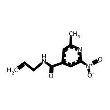 C=CCNC(=O)c1cc(C)nc([N+](=O)[O-])c1